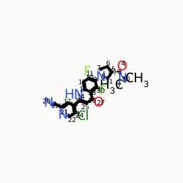 CN(C)C(=O)[C@H]1CCN(c2c(F)cc3[nH]c(-c4cc(C#N)ncc4Cl)cc(=O)c3c2F)C1